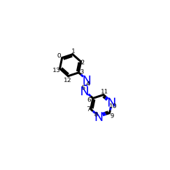 c1ccc(/N=N/c2cncnc2)cc1